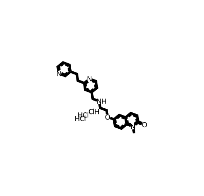 Cl.Cl.Cl.Cn1c(=O)ccc2cc(OCCNCc3ccnc(CCc4cccnc4)c3)ccc21